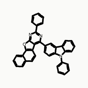 c1ccc(-c2nc(-c3ccc4c(c3)c3ccccc3n4-c3ccccc3)c3c(n2)oc2c4ccccc4ccc23)cc1